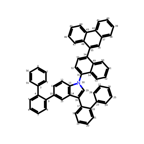 c1ccc(-c2ccccc2-c2ccc3c(c2)c(-c2ccccc2-c2ccccc2)cn3-c2ccc(-c3cc4ccccc4c4ccccc34)c3ccccc23)cc1